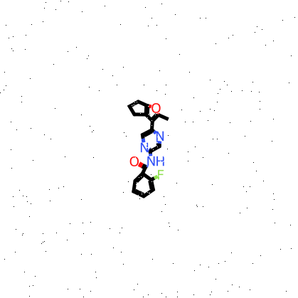 Cc1oc2c(c1-c1cnc(NC(=O)c3ccccc3F)cn1)CCC2